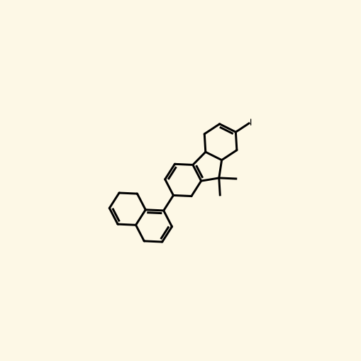 CC1(C)C2=C(C=CC(C3=C4CCC=CC4CC=C3)C2)C2CC=C(I)CC21